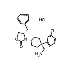 Cl.NC[C@]1(c2cccc(Cl)c2)CC[C@@H](N2C(=O)OC[C@@H]2Cc2ccccc2)CC1